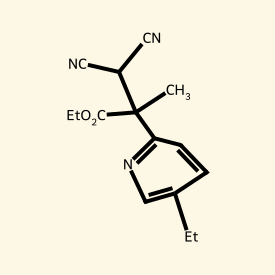 CCOC(=O)C(C)(c1ccc(CC)cn1)C(C#N)C#N